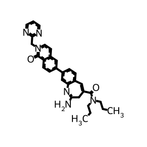 CCCN(CCC)C(=O)C1=Cc2ccc(-c3ccc4c(=O)n(Cc5ncccn5)ccc4c3)cc2N=C(N)C1